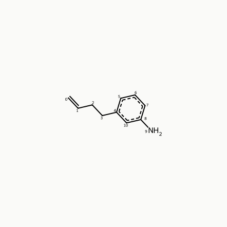 C=CCCc1cccc(N)c1